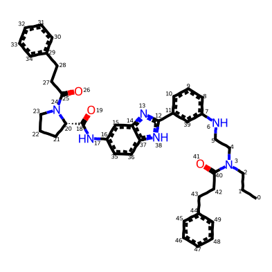 CCCN(CCNc1cccc(-c2nc3cc(NC(=O)[C@@H]4CCCN4C(=O)CCc4ccccc4)ccc3[nH]2)c1)C(=O)CCc1ccccc1